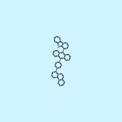 c1ccc2c(c1)ccc1c(-c3ccc(-c4c5ccccc5c(-c5cccc6c5sc5ccccc56)c5ccccc45)cc3)cccc12